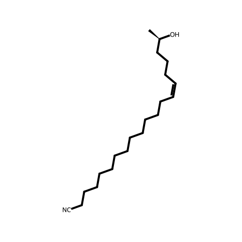 C[C@@H](O)CCC/C=C\CCCCCCCCCCCCC#N